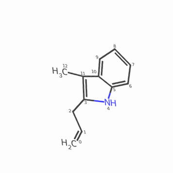 C=CCc1[nH]c2ccccc2c1C